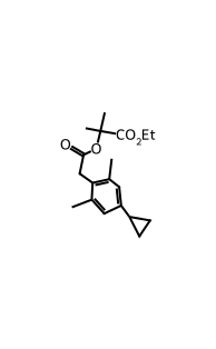 CCOC(=O)C(C)(C)OC(=O)Cc1c(C)cc(C2CC2)cc1C